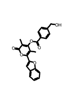 Cc1c(-c2cc3ccccc3o2)oc(=O)c(C)c1OC(=O)c1ccc(CO)cc1